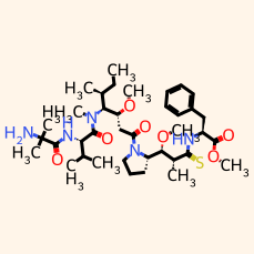 CC[C@H](C)[C@@H]([C@@H](CC(=O)N1CCC[C@H]1[C@H](OC)[C@@H](C)C(=S)N[C@@H](Cc1ccccc1)C(=O)OC)OC)N(C)C(=O)[C@@H](NC(=O)C(C)(C)N)C(C)C